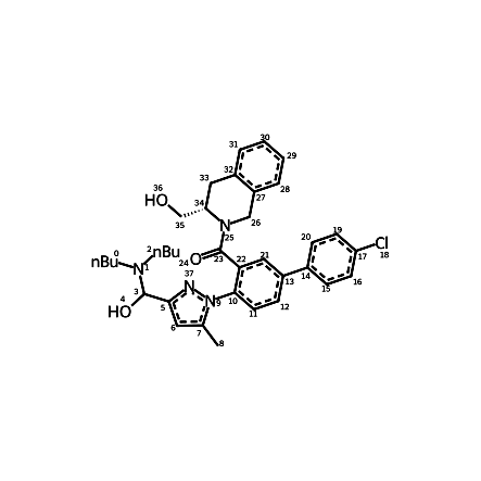 CCCCN(CCCC)C(O)c1cc(C)n(-c2ccc(-c3ccc(Cl)cc3)cc2C(=O)N2Cc3ccccc3C[C@H]2CO)n1